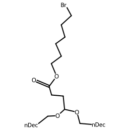 CCCCCCCCCCCOC(CCC(=O)OCCCCCCBr)OCCCCCCCCCCC